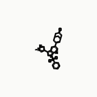 Cn1cc(-c2cn(S(=O)(=O)c3ccccc3)c3ncc(C4=CC5CC(=O)CC(C4)C5)cc23)cn1